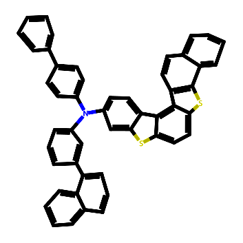 c1ccc(-c2ccc(N(c3cccc(-c4cccc5ccccc45)c3)c3ccc4c(c3)sc3ccc5sc6c7ccccc7ccc6c5c34)cc2)cc1